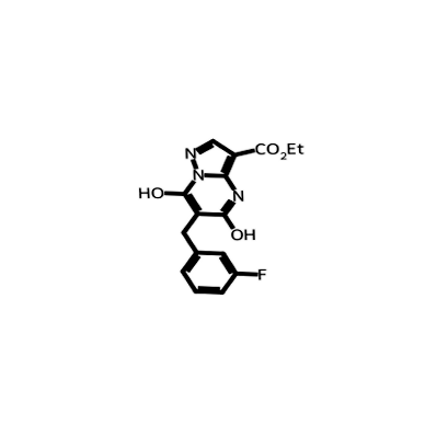 CCOC(=O)c1cnn2c(O)c(Cc3cccc(F)c3)c(O)nc12